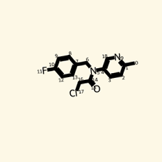 Cc1ccc(N(Cc2ccc(F)cc2)C(=O)CCl)cn1